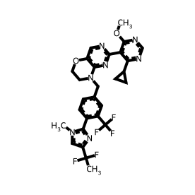 COc1ncnc(C2CC2)c1-c1ncc2c(n1)N(Cc1ccc(-c3nc(C(C)(F)F)cn3C)c(C(F)(F)F)c1)CCO2